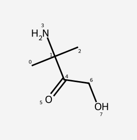 CC(C)(N)C(=O)CO